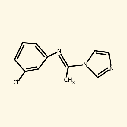 C/C(=N\c1cccc(Cl)c1)n1ccnc1